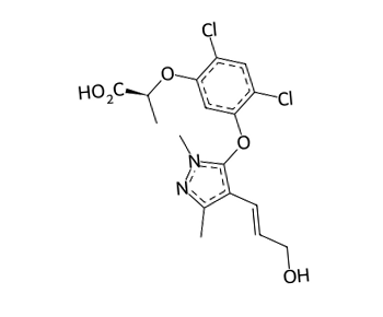 Cc1nn(C)c(Oc2cc(O[C@@H](C)C(=O)O)c(Cl)cc2Cl)c1C=CCO